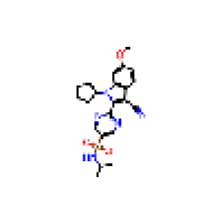 COc1ccc2c(C#N)c(-c3ncc(S(=O)(=O)NC(C)C)cn3)n(C3CCCC3)c2c1